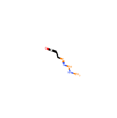 O=C=CCP=NPNP